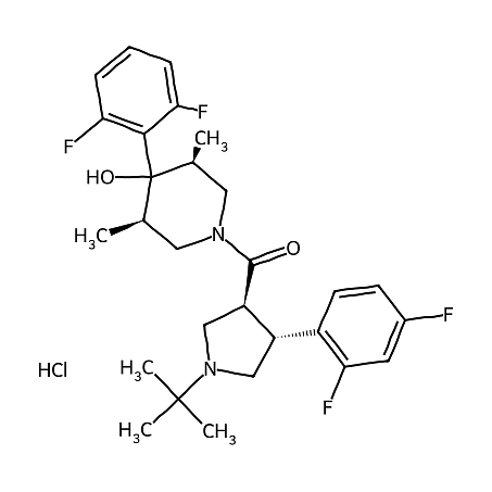 C[C@@H]1CN(C(=O)[C@@H]2CN(C(C)(C)C)C[C@H]2c2ccc(F)cc2F)C[C@H](C)C1(O)c1c(F)cccc1F.Cl